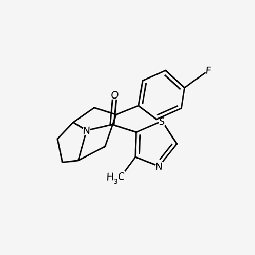 Cc1ncsc1C(=O)N1C2CCC1CC(c1ccc(F)cc1)C2